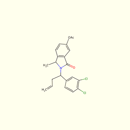 C=CCC(c1ccc(Cl)c(Cl)c1)N1C(=O)c2cc(OC(C)=O)ccc2C1C